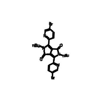 CCCCN1C(=O)C2=C(c3ccc(Br)cn3)N(CCCC)C(=O)C2=C1c1ccc(Br)cn1